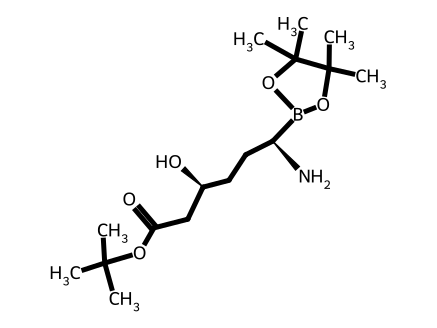 CC(C)(C)OC(=O)C[C@@H](O)CC[C@H](N)B1OC(C)(C)C(C)(C)O1